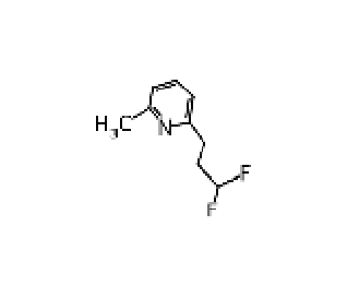 Cc1cccc(CCC(F)F)n1